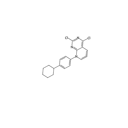 Clc1nc(Cl)c2c(n1)N(c1ccc(C3CCCCC3)cc1)C=C=C2